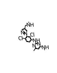 CNCc1cnn(-c2c(Cl)ccc(Nc3nc(C)cc(NC)n3)c2Cl)c1